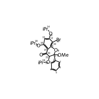 COC1(c2ccccc2)Oc2c(Br)c(OC(C)C)cc(OC(C)C)c2C(=O)C1OC(C)C